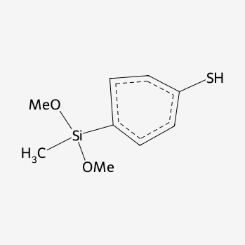 CO[Si](C)(OC)c1ccc(S)cc1